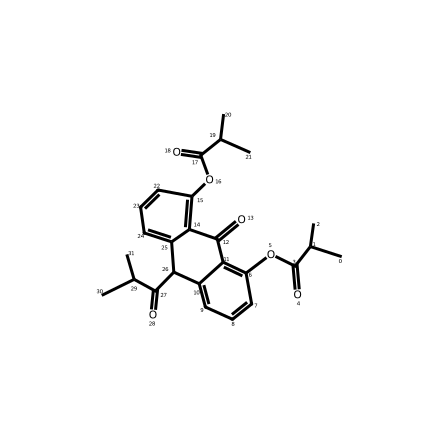 CC(C)C(=O)Oc1cccc2c1C(=O)c1c(OC(=O)C(C)C)cccc1C2C(=O)C(C)C